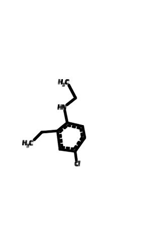 CCNc1ccc(Cl)cc1CC